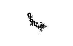 O=c1[nH]ncc(NC(CCCn2ccc3cc(-c4nc5ccccn5n4)c(F)cc3c2=O)COC(F)F)c1C(F)(F)F